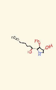 CCCCCCCCCCCCC(O)[C@H]1NC[C@@H](O)[C@@H]1O